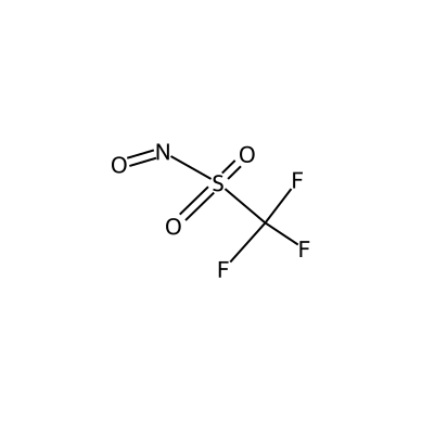 O=NS(=O)(=O)C(F)(F)F